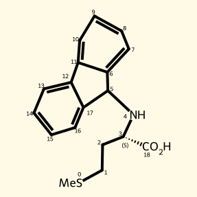 CSCC[C@H](NC1c2ccccc2-c2ccccc21)C(=O)O